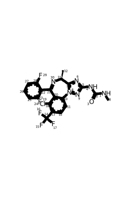 CNC(=O)Nc1nc2n(n1)-c1ccc(C(F)(F)F)c(Cl)c1C(c1c(F)cccc1F)=N[C@H]2C